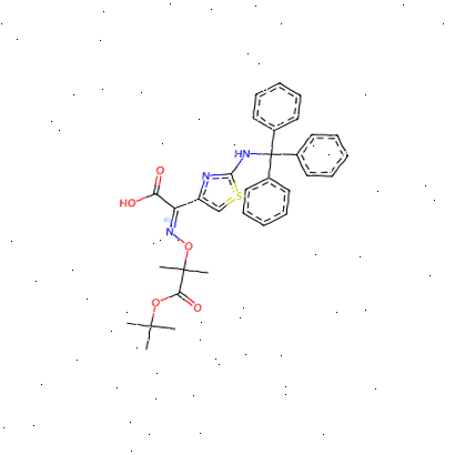 CC(C)(C)OC(=O)C(C)(C)O/N=C(/C(=O)O)c1csc(NC(c2ccccc2)(c2ccccc2)c2ccccc2)n1